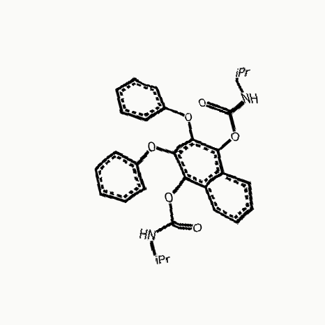 CC(C)NC(=O)Oc1c(Oc2ccccc2)c(Oc2ccccc2)c(OC(=O)NC(C)C)c2ccccc12